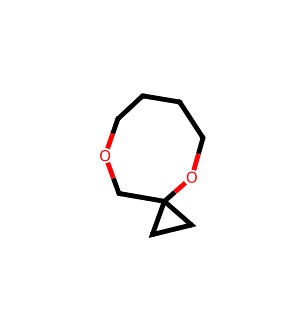 C1CCOC2(CC2)COC1